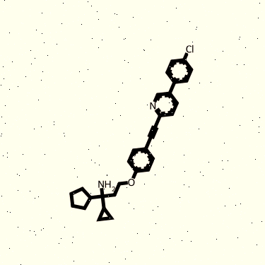 NC(CCOc1ccc(C#Cc2ccc(-c3ccc(Cl)cc3)cn2)cc1)(C1CCCC1)C1CC1